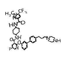 Cn1nc(C(=O)NC2CCC(NC(=O)c3cc(F)cnc3Oc3cccc(-c4ccc(CCCN5CCNCC5)cc4)c3)CC2)cc1C(F)(F)F